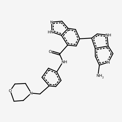 Nc1cc2c(-c3cc(C(=O)Nc4ccc(CN5CCOCC5)cc4)c4[nH]ncc4c3)c[nH]c2cn1